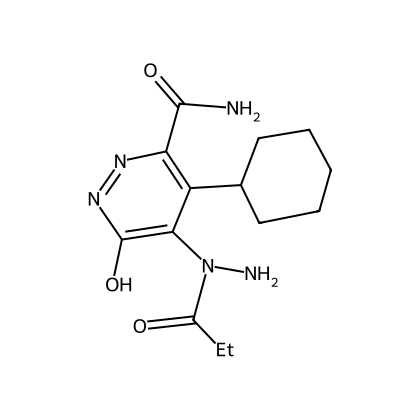 CCC(=O)N(N)c1c(O)nnc(C(N)=O)c1C1CCCCC1